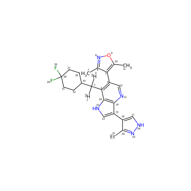 [2H]C([2H])(c1c(-c2c(C)noc2C)cnc2c(-c3c[nH]nc3CC)c[nH]c12)C1CCC(F)(F)CC1